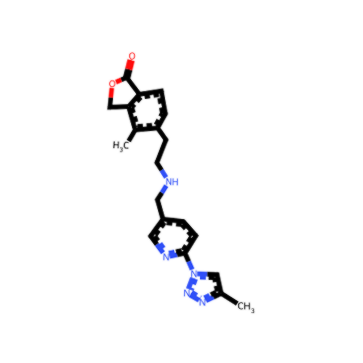 Cc1cn(-c2ccc(CNCCc3ccc4c(c3C)COC4=O)cn2)nn1